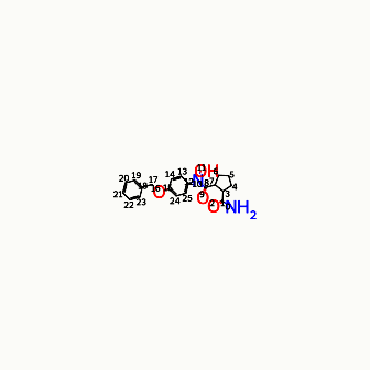 NC(=O)C1CCCC1C(=O)N(O)c1ccc(OCc2ccccc2)cc1